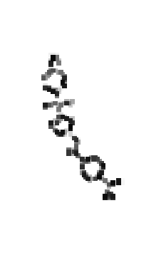 CCCC(=O)c1ccc(NCc2cnc(S(=O)(=O)c3ccc(C)cc3)s2)cc1